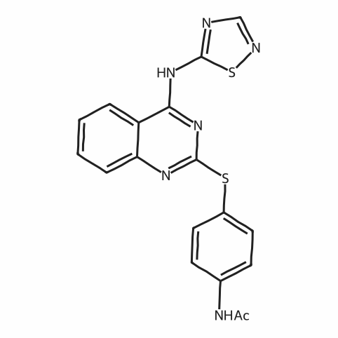 CC(=O)Nc1ccc(Sc2nc(Nc3ncns3)c3ccccc3n2)cc1